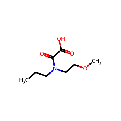 CCCN(CCOC)C(=O)C(=O)O